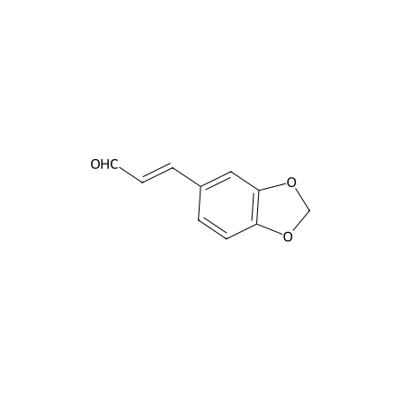 O=C/C=C/c1ccc2c(c1)OCO2